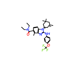 CCN(CC)C(=O)c1ccc2c(nc(Nc3ccc(OC(F)(F)F)cc3)n2[C@@H]2C[C@H](C)CC(C)(C)C2)c1C